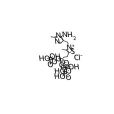 Cc1ncc(C[n+]2csc(CCP(=O)(OOP(=O)(O)O)OP(=O)(O)OP(=O)(O)O)c2C)c(N)n1.[Cl-]